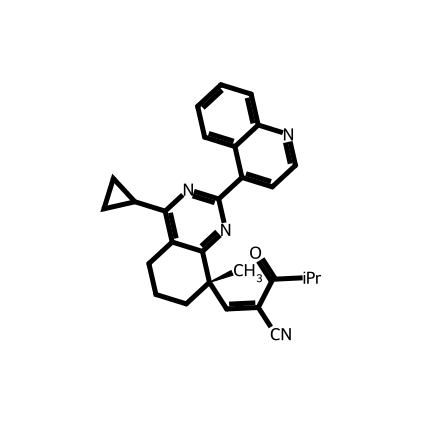 CC(C)C(=O)/C(C#N)=C\[C@]1(C)CCCc2c(C3CC3)nc(-c3ccnc4ccccc34)nc21